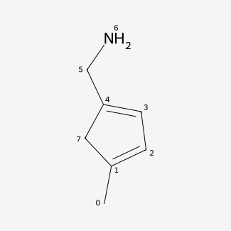 CC1=CC=C(CN)C1